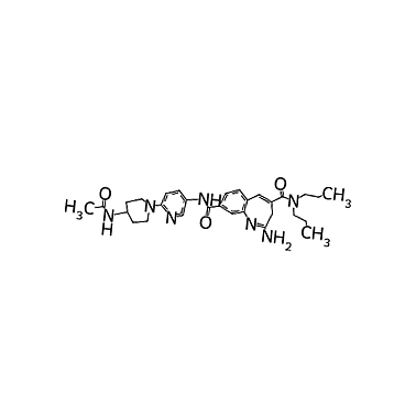 CCCN(CCC)C(=O)C1=Cc2ccc(C(=O)Nc3ccc(N4CCC(NC(C)=O)CC4)nc3)cc2N=C(N)C1